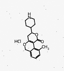 Cc1cccc2c1C1=C(CC(C3CCNCC3)OC1=O)OC2.Cl